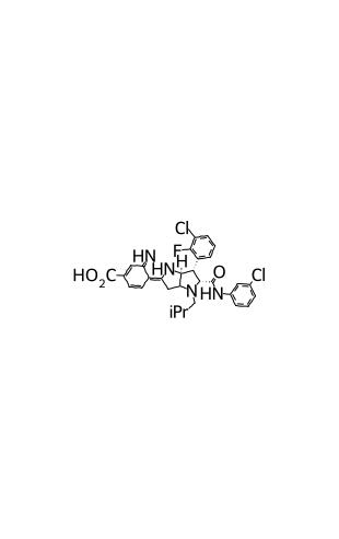 CC(C)CN1C2C/C(=C3\C=CC(C(=O)O)=CC3=N)N[C@H]2[C@H](c2cccc(Cl)c2F)[C@@H]1C(=O)Nc1cccc(Cl)c1